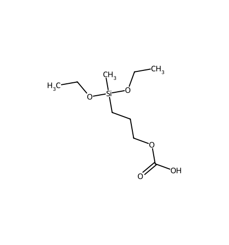 CCO[Si](C)(CCCOC(=O)O)OCC